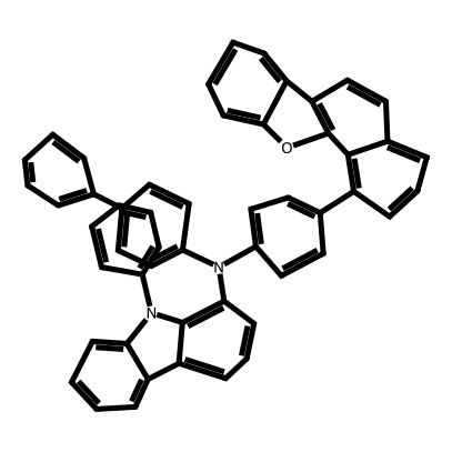 c1ccc(-c2ccc(N(c3ccc(-c4cccc5ccc6c7ccccc7oc6c45)cc3)c3cccc4c5ccccc5n(-c5ccccc5)c34)cc2)cc1